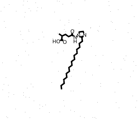 CCCCCCCCCCCCCCCCCC1=NCCN1NC(=O)CCC(C)C(=O)O